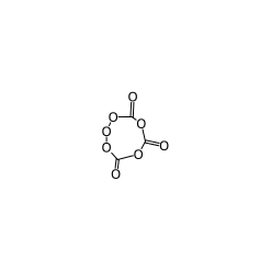 O=c1oooc(=O)oc(=O)o1